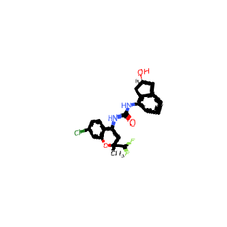 CC1(C(F)F)CC(NC(=O)Nc2cccc3c2C[C@H](O)C3)c2ccc(Cl)cc2O1